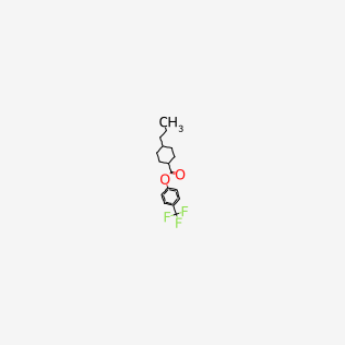 CCCC1CCC(C(=O)Oc2ccc(C(F)(F)F)cc2)CC1